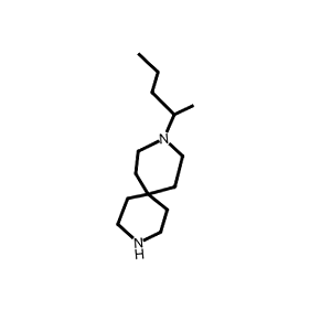 CCCC(C)N1CCC2(CCNCC2)CC1